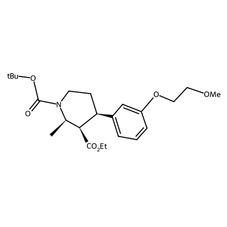 CCOC(=O)[C@H]1[C@@H](C)N(C(=O)OC(C)(C)C)CC[C@H]1c1cccc(OCCOC)c1